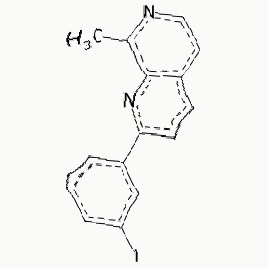 Cc1nccc2ccc(-c3cccc(I)c3)nc12